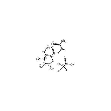 CN(CC(=O)N1C[C@H](O)[C@@H](O)[C@H](O)[C@H]1CO)C(=N)N.O=C(O)C(F)(F)F